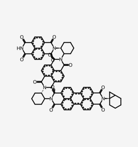 O=C1NC(=O)c2ccc3c4c(ccc1c24)C(=O)N([C@H]1CCCCC1N1C(=O)c2ccc4c5c(ccc(c25)C1=O)C(=O)N([C@H]1CCCCC1N1C(=O)c2ccc5c6ccc7c8c(ccc(c9ccc(c2c59)C1=O)c86)C(=O)N([C@]12CCCCC1C2)C7=O)C4=O)C3=O